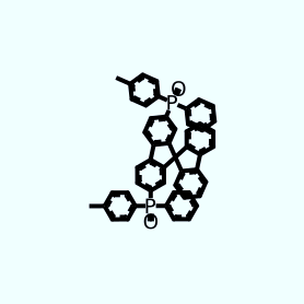 Cc1ccc(P(=O)(c2ccccc2)c2ccc3c(c2)C2(c4ccccc4-c4ccccc42)c2cc(P(=O)(c4ccccc4)c4ccc(C)cc4)ccc2-3)cc1